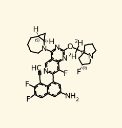 [2H]C([2H])(Oc1nc(N2CCCC[C@H]3C[C@H]32)c2cnc(-c3cc(N)cc4cc(F)c(F)c(C#C)c34)c(F)c2n1)[C@@]12CCCN1C[C@H](F)C2